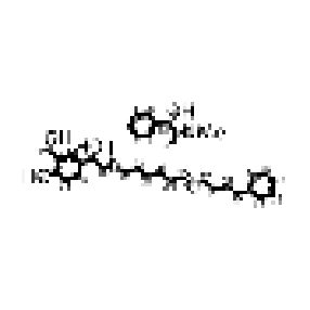 CN[C@@H](C)[C@H](O)c1ccccc1.OCc1cc(C(O)CNCCCCCCOCCCCc2ccccc2)ccc1O